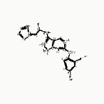 C[C@H](Cn1ncnn1)Nc1n[nH]c2nc(Oc3ccc(F)cc3F)ncc12